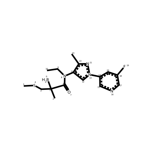 BC(C)(CSC)C(=O)N(CC)c1cn(-c2cncc(F)c2)nc1C